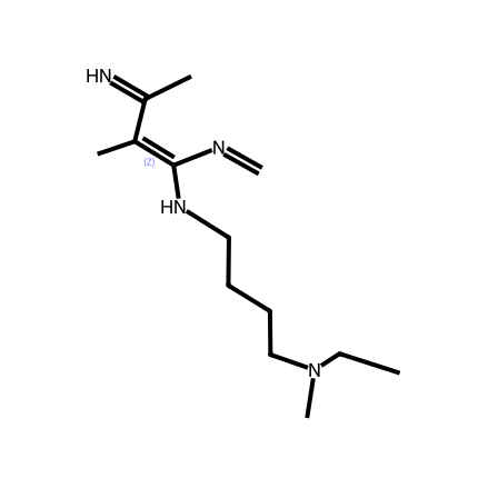 C=N/C(NCCCCN(C)CC)=C(/C)C(C)=N